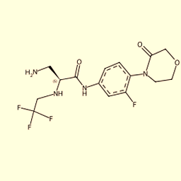 NC[C@H](NCC(F)(F)F)C(=O)Nc1ccc(N2CCOCC2=O)c(F)c1